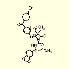 CCC[C@@H](NC(=O)N1C(=O)C(CC)(CC)[C@@H]1Oc1ccc(C(=O)N2CCN(C3CC3)CC2)cc1)c1ccc2c(c1)OCO2